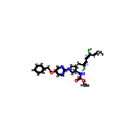 C=C/C(F)=C\C=C(\F)C[C@H]1CN(c2ncc(OCc3ccccc3)cn2)C[C@@H]1NC(=O)OC(C)(C)C